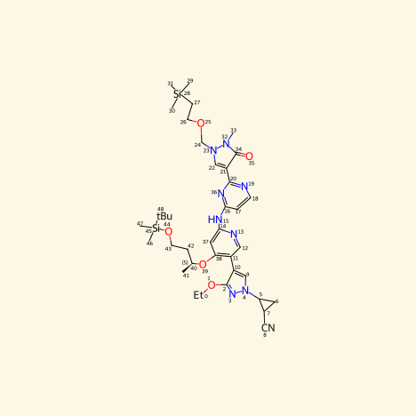 CCOc1nn(C2CC2C#N)cc1-c1cnc(Nc2ccnc(-c3cn(COCC[Si](C)(C)C)n(C)c3=O)n2)cc1O[C@@H](C)CCO[Si](C)(C)C(C)(C)C